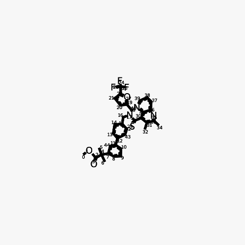 COC(=O)C(C)(C)c1cccc(-c2ccc(CN(Cc3ccc(C(F)(F)F)o3)C(=S)c3c(C)c(C)nc4cccnc34)cc2)c1